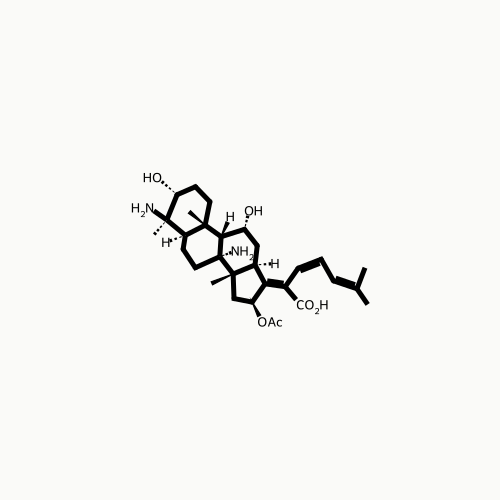 CC(=O)O[C@H]1C[C@@]2(C)[C@@H](C[C@@H](O)[C@H]3[C@@]4(C)CC[C@@H](O)[C@](C)(N)[C@@H]4CC[C@@]32N)/C1=C(\C=C/C=C(C)C)C(=O)O